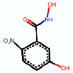 O=C(NO)c1cc(O)ccc1[N+](=O)[O-]